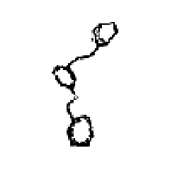 C(=CC1CC2CCC1N2)c1cncc(OCc2ccccc2)c1